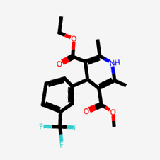 CCOC(=O)C1=C(C)NC(C)=C(C(=O)OC)C1c1cccc(C(F)(F)F)c1